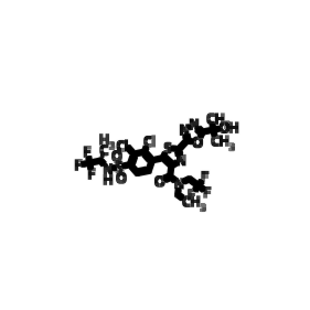 CCN(CC(F)(F)F)C(=O)c1nc(-c2nnc(C(C)(C)O)o2)sc1-c1ccc(S(=O)(=O)N[C@@H](C)C(F)(F)F)c(Cl)c1Cl